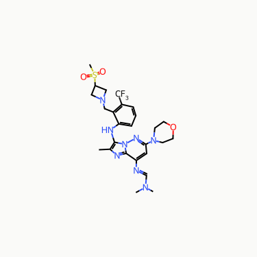 Cc1nc2c(/N=C/N(C)C)cc(N3CCOCC3)nn2c1Nc1cccc(C(F)(F)F)c1CN1CC(S(C)(=O)=O)C1